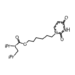 CC(C)CC(C(=O)OCCCCCCn1ccc(=O)[nH]c1=O)C(C)C